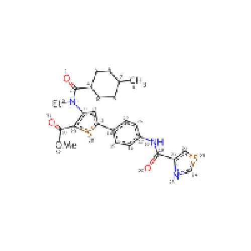 CCN(C(=O)C1CCC(C)CC1)c1cc(-c2ccc(NC(=O)c3cscn3)cc2)sc1C(=O)OC